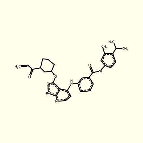 C=CC(=O)C1CCC[C@@H](Oc2n[nH]c3nccc(Nc4cccc(C(=O)Nc5ccc(C(C)C)c(C)c5)c4)c23)C1